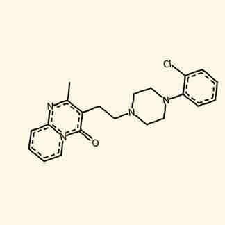 Cc1nc2ccccn2c(=O)c1CCN1CCN(c2ccccc2Cl)CC1